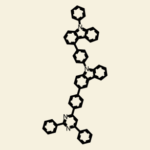 c1ccc(-c2cc(-c3ccc(-c4ccc5c(c4)c4ccccc4n5-c4ccc(-c5cccc6c5c5ccccc5n6-c5ccccc5)cc4)cc3)nc(-c3ccccc3)n2)cc1